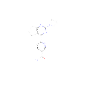 NC(=O)c1ccc(-c2nc(N3CCC3)nc3c2CCC3)nc1